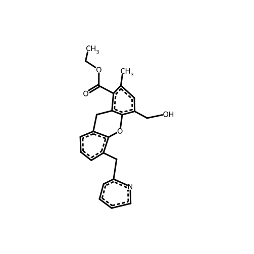 CCOC(=O)c1c(C)cc(CO)c2c1Cc1cccc(Cc3ccccn3)c1O2